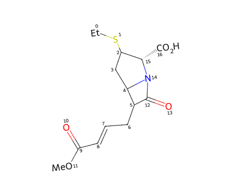 CCSC1CC2C(CC=CC(=O)OC)C(=O)N2[C@H]1C(=O)O